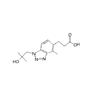 Cc1c(CCC(=O)O)ccc2c1nnn2CC(C)(C)O